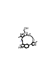 Cc1nn(CCO)c2c1/C=C/c1n[nH]c3ccc(cc13)-c1cnn(C)c1OCCN(C)C2=O